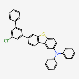 Clc1cc(-c2ccccc2)cc(-c2ccc3c(c2)sc2ccc(N(c4ccccc4)c4ccccc4)cc23)c1